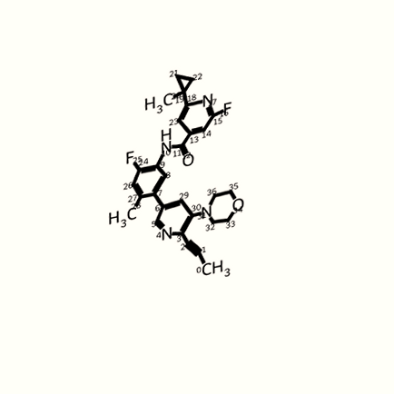 CC#Cc1ncc(-c2cc(NC(=O)c3cc(F)nc(C4(C)CC4)c3)c(F)cc2C)cc1N1CCOCC1